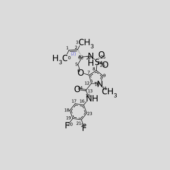 C/C=C(/C)[C@H]1COc2c(cn(C)c2C(=O)Nc2ccc(F)c(F)c2)S(=O)(=O)N1